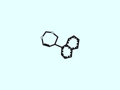 C1=CC(c2cccc3ccccc23)COCO1